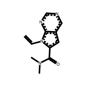 C=Cn1c(C(=O)N(C)C)cc2cncnc21